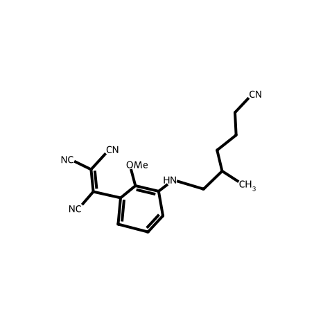 COc1c(NCC(C)CCCC#N)cccc1C(C#N)=C(C#N)C#N